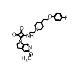 COc1cc2c(cn1)N(c1c(NCCN3CCC(CCOc4ccc(F)cc4)CC3)c(=O)c1=O)CC2